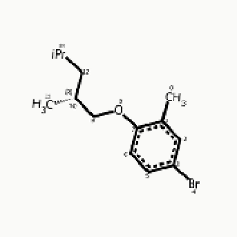 Cc1cc(Br)ccc1OC[C@H](C)CC(C)C